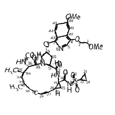 COCCOc1cnc(O[C@@H]2C[C@H]3C(=O)N[C@]4(C(=O)NS(=O)(=O)C5CC5)C[C@H]4C=CCC[C@H](C)C[C@@H](C)[C@H](NC(=O)O)C(=O)N3C2)c2ccc(OC)cc12